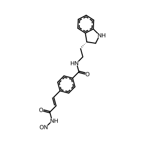 O=NNC(=O)/C=C/c1ccc(C(=O)NCC[C@H]2CNc3ccccc32)cc1